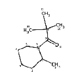 CC1CCCCN1C(=O)C(C)(C)C